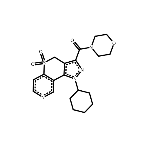 O=C(c1nn(C2CCCCC2)c2c1CS(=O)(=O)c1ccncc1-2)N1CCOCC1